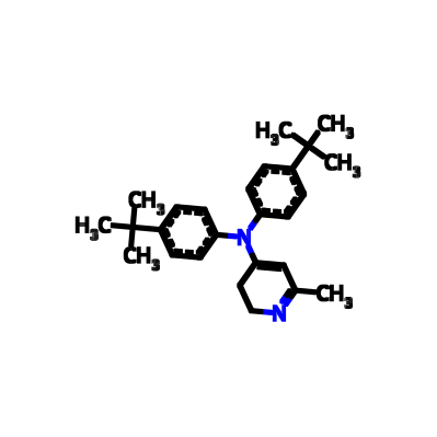 CC1=NCCC(N(c2ccc(C(C)(C)C)cc2)c2ccc(C(C)(C)C)cc2)=C1